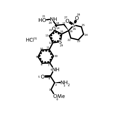 COC[C@H](N)C(=O)Nc1cccc(-c2ccc([C@@]3(CC(=O)NO)CCCCS3(=O)=O)s2)c1.Cl